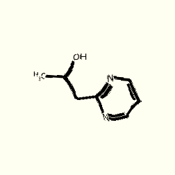 CC(O)Cc1ncccn1